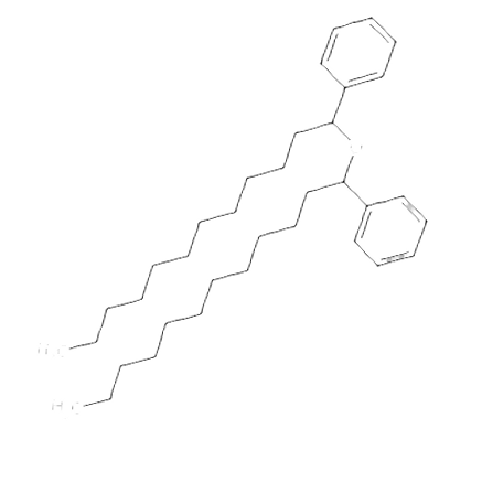 CCCCCCCCCCCC(OC(CCCCCCCCCCC)c1ccccc1)c1ccccc1